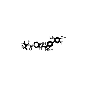 CCc1cc(O)c(F)cc1-c1ccc2c(-c3nc4c([nH]3)CCN(C(=O)Nc3c(C)noc3C)C4)n[nH]c2c1